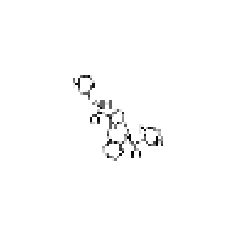 O=C(NCc1cccnc1)c1ccc2n1Cc1ccccc1N(C(=O)c1cnccn1)C2